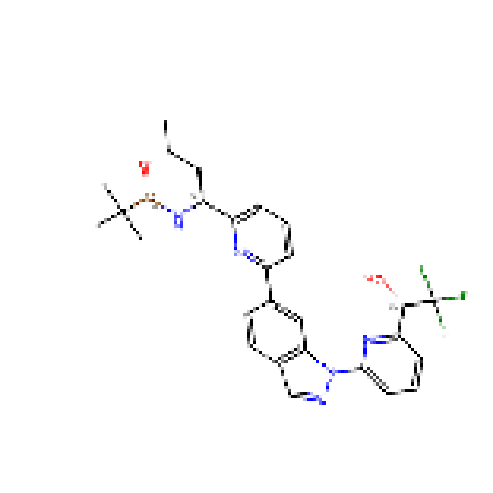 CCC[C@H](N[S@@+]([O-])C(C)(C)C)c1cccc(-c2ccc3cnn(-c4cccc([C@H](O)C(F)(F)F)n4)c3c2)n1